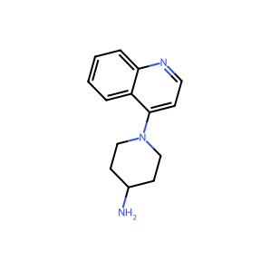 NC1CCN(c2ccnc3ccccc23)CC1